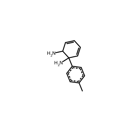 Cc1ccc(C2(N)C=CC=CC2N)cc1